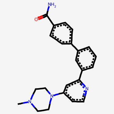 CN1CCN(c2ccnc(-c3cccc(-c4ccc(C(N)=O)cc4)c3)c2)CC1